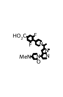 CNc1ccn(-c2ccnc3c2cc(C(C)N2CC=C(c4c(F)cc(C(=O)O)cc4F)CC2)n3C)c(=O)c1